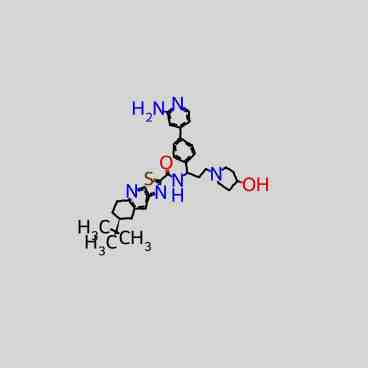 CC(C)(C)[C@H]1CCc2nc3sc(C(=O)NC(CCN4CCC(O)CC4)c4ccc(-c5ccnc(N)c5)cc4)nc3cc2C1